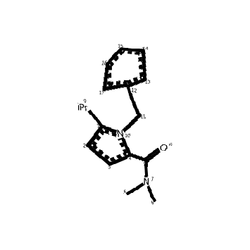 CC(C)c1ccc(C(=O)N(C)C)n1Cc1ccccc1